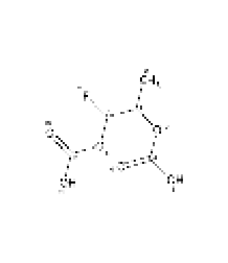 CC(OC(=O)O)C(F)OC(=O)O